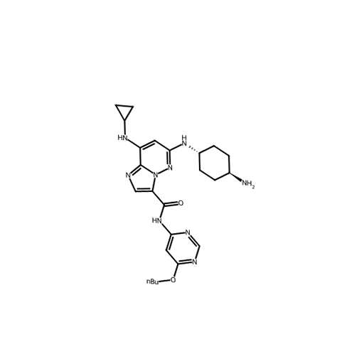 CCCCOc1cc(NC(=O)c2cnc3c(NC4CC4)cc(N[C@H]4CC[C@H](N)CC4)nn23)ncn1